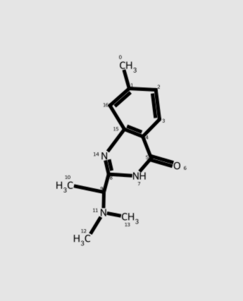 Cc1ccc2c(=O)[nH]c(C(C)N(C)C)nc2c1